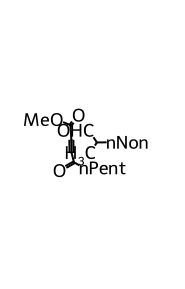 CCCCCC(=O)C#CC(=O)OC.CCCCCCCCCC(C)C=O